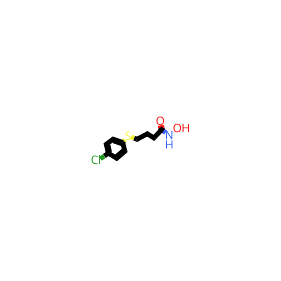 O=C(CCCSc1ccc(Cl)cc1)NO